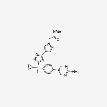 CNC(=O)Cn1cc(-c2nc(C(C)(c3ccc(-c4cnc(N)nc4)cc3)C3CC3)no2)cn1